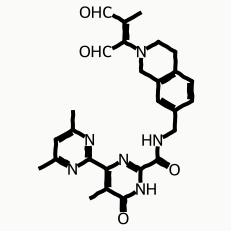 C/C(C=O)=C(/C=O)N1CCc2ccc(CNC(=O)c3nc(-c4nc(C)cc(C)n4)c(C)c(=O)[nH]3)cc2C1